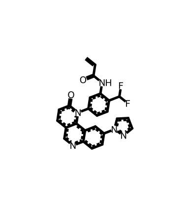 C=CC(=O)Nc1cc(-n2c(=O)ccc3cnc4ccc(-n5cccn5)cc4c32)ccc1C(F)F